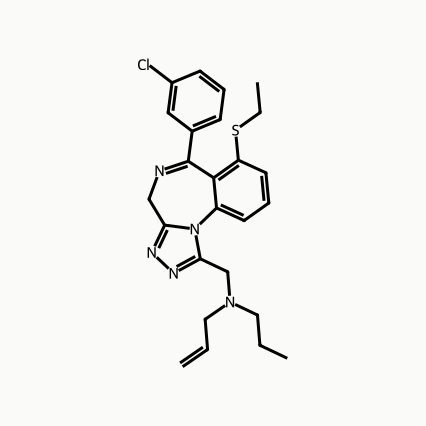 C=CCN(CCC)Cc1nnc2n1-c1cccc(SCC)c1C(c1cccc(Cl)c1)=NC2